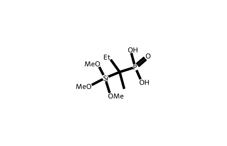 CCC(C)([Si](OC)(OC)OC)P(=O)(O)O